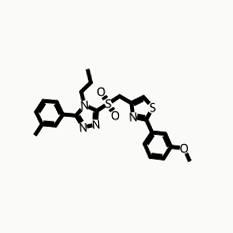 CCCn1c(-c2cccc(C)c2)nnc1S(=O)(=O)Cc1csc(-c2cccc(OC)c2)n1